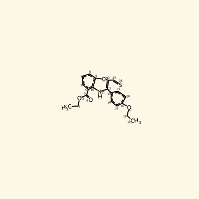 CCOC(=O)c1cccc2c1NC(c1ccc(OCC)cc1)=C(C=S)C2